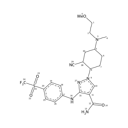 COCCN(C)C1CCC(n2cc(C(N)=O)c(Nc3ccc(S(=O)(=O)C(F)(F)F)cc3)n2)C(C#N)C1